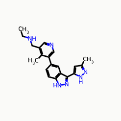 CCNCc1cncc(-c2ccc3[nH]nc(-c4cc(C)n[nH]4)c3c2)c1C